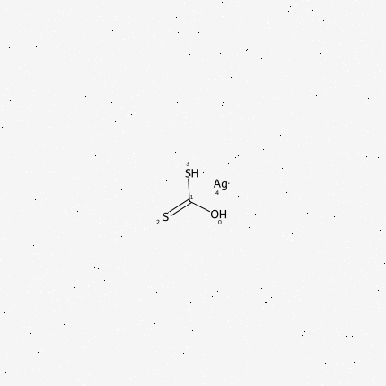 OC(=S)S.[Ag]